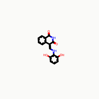 O=C1NC(=O)c2ccccc2C1=CNc1c(O)cccc1O